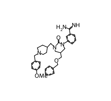 COc1ccc(CN2CCC(CN3CC(COCc4ccccc4)CN(c4cccc(C(=N)N)c4)C3=O)CC2)cc1